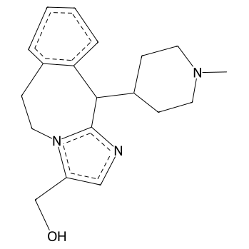 CN1CCC(C2c3ccccc3CCn3c(CO)cnc32)CC1